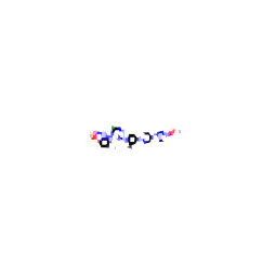 CCCCOC(=O)N1CCN(C2CCN(c3ccc(Nc4ncc(Cl)c(Nc5ccccc5N(C)S(C)(=O)=O)n4)c(OC)c3)CC2)CC1